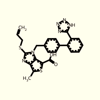 C=CCSc1nc2c(C)sc(C(=O)O)c2n1Cc1ccc(-c2ccccc2-c2nnn[nH]2)cc1